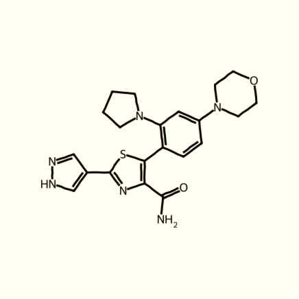 NC(=O)c1nc(-c2cn[nH]c2)sc1-c1ccc(N2CCOCC2)cc1N1CCCC1